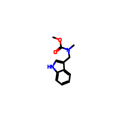 COC(=O)N(C)Cc1c[nH]c2ccccc12